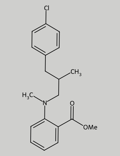 COC(=O)c1ccccc1N(C)CC(C)Cc1ccc(Cl)cc1